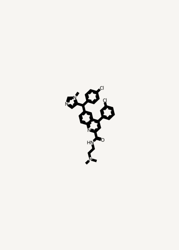 CN(C)CCNC(=O)c1cc(-c2cccc(Cl)c2)c2cc(C(c3ccc(Cl)cc3)c3cncn3C)ccc2n1